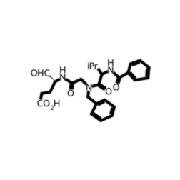 CC(C)C(NC(=O)c1ccccc1)C(=O)N(CC(=O)N[C@@H](C=O)CCC(=O)O)Cc1ccccc1